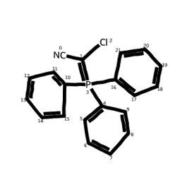 N#CC(Cl)=P(c1ccccc1)(c1ccccc1)c1ccccc1